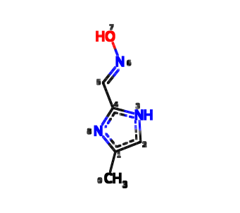 Cc1c[nH]c(C=NO)n1